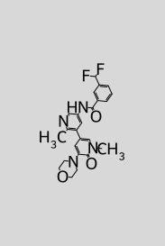 Cc1ncc(NC(=O)c2cccc(C(F)F)c2)cc1-c1cc(N2CCOCC2)c(=O)n(C)c1